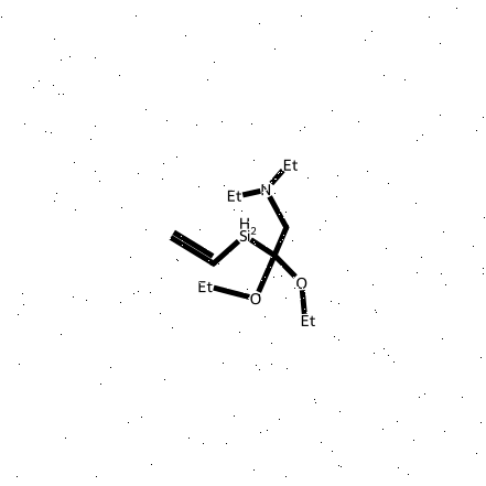 C=C[SiH2]C(CN(CC)CC)(OCC)OCC